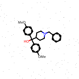 COc1ccc(C(O)(c2ccc(OC)cc2)C2CCN(Cc3ccccc3)CC2)cc1